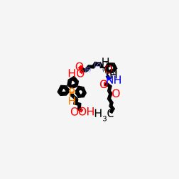 CCCCCC(=O)CCC(=O)NC[C@H]1[C@@H](C/C=C\C/C=C/C(=O)O)[C@H]2CC[C@@H]1O2.O=C(O)CC=CC[PH](c1ccccc1)(c1ccccc1)c1ccccc1